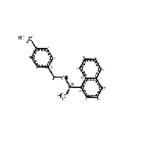 C[C@@H](NCc1ccc(C(=O)O)cc1)c1cccc2ccccc12